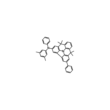 Cc1cc(C)cc(N(c2ccccc2)c2cc3c4c(c2)c2cc(-c5ccccc5)cc5c2n4-c2c(cccc2C3(C)C)C5(C)C)c1